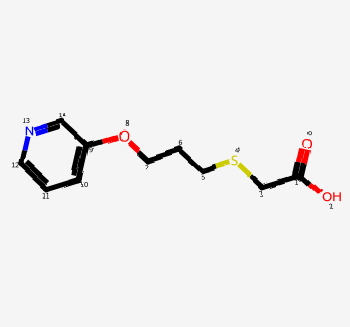 O=C(O)CSCCCOc1cccnc1